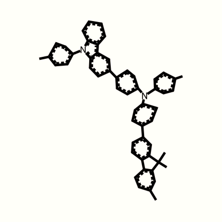 Cc1ccc(N(c2ccc(-c3ccc4c(c3)C(C)(C)c3cc(C)ccc3-4)cc2)c2ccc(-c3ccc4c(c3)c3ccccc3n4-c3ccc(C)cc3)cc2)cc1